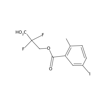 Cc1ccc(I)cc1C(=O)OCC(F)(F)C(=O)O